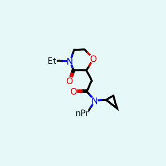 CCCN(C(=O)CC1OCCN(CC)C1=O)C1CC1